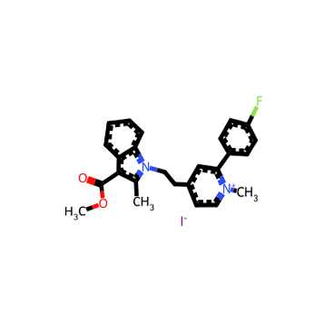 COC(=O)c1c(C)n(CCc2cc[n+](C)c(-c3ccc(F)cc3)c2)c2ccccc12.[I-]